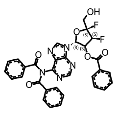 O=C(O[C@H]1[C@H](n2cnc3c(N(C(=O)c4ccccc4)C(=O)c4ccccc4)ncnc32)O[C@](F)(CO)[C@H]1F)c1ccccc1